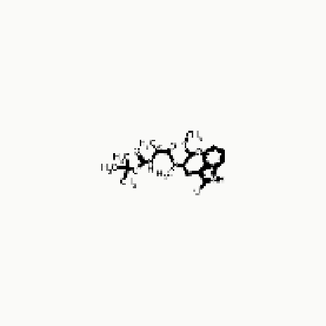 COC(=O)C(Cc1c(Cl)[nH]c2ccccc12)N(C)C(=O)[C@H](C)NC(=O)OC(C)(C)C